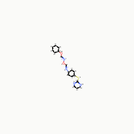 C(=N\O/C=N/c1ccc(Sc2ncccn2)cc1)/Oc1ccccc1